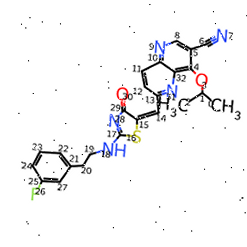 CC(C)Oc1c(C#N)cnc2ccc(/C=C3/SC(NCCc4cccc(F)c4)=NC3=O)nc12